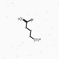 C=C(Br)CCCC(=O)O